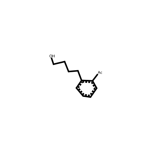 CC(=O)c1ccccc1CCCCO